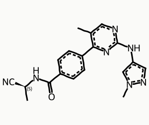 Cc1cnc(Nc2cnn(C)c2)nc1-c1ccc(C(=O)N[C@@H](C)C#N)cc1